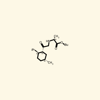 CCC(C)OC(=O)[C@@H](C)NCC(=O)[C@@H]1C[C@H](C)CC[C@H]1C(C)C